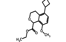 CCOC(=O)C1OCCc2c(C3CCC3)ccc(OC)c21